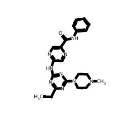 CCc1nc(Nc2cnc(C(=O)Nc3ccccc3)cn2)nc(N2CCN(C)CC2)n1